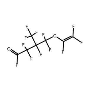 O=C(F)C(F)(F)C(F)(C(F)(F)F)C(F)(F)OC(F)=C(F)F